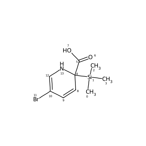 C[Si](C)(C)C1(C(=O)O)C=CC(Br)=CN1